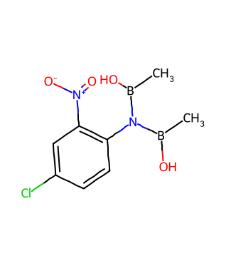 CB(O)N(B(C)O)c1ccc(Cl)cc1[N+](=O)[O-]